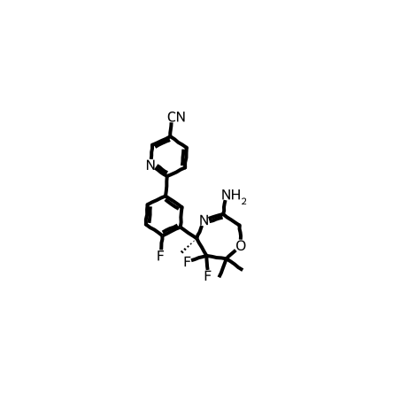 CC1(C)OCC(N)=N[C@](C)(c2cc(-c3ccc(C#N)cn3)ccc2F)C1(F)F